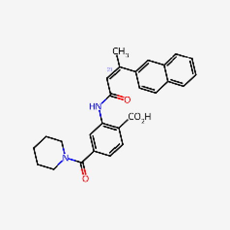 C/C(=C/C(=O)Nc1cc(C(=O)N2CCCCC2)ccc1C(=O)O)c1ccc2ccccc2c1